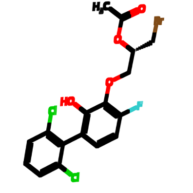 CC(=O)O[C@H](CBr)COc1c(F)ccc(-c2c(Cl)cccc2Cl)c1O